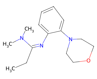 CCC(=Nc1ccccc1N1CCOCC1)N(C)C